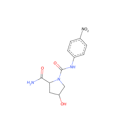 NC(=O)C1CC(O)CN1C(=O)Nc1ccc([N+](=O)[O-])cc1